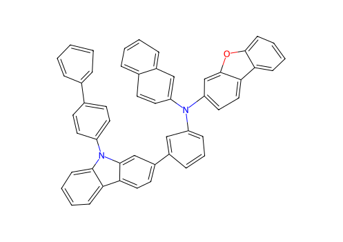 c1ccc(-c2ccc(-n3c4ccccc4c4ccc(-c5cccc(N(c6ccc7ccccc7c6)c6ccc7c(c6)oc6ccccc67)c5)cc43)cc2)cc1